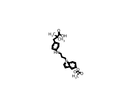 CC(C)(Cc1ccc(NCCCn2ccc3cc(OS(C)(=O)=O)ccc32)cc1)C(=O)O